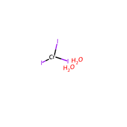 O.O.[I][Cr]([I])[I]